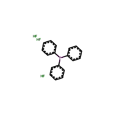 F.F.F.c1ccc(P(c2ccccc2)c2ccccc2)cc1